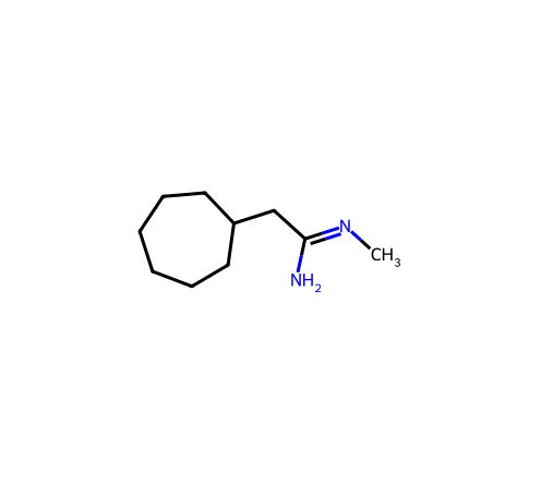 C/N=C(\N)CC1CCCCCC1